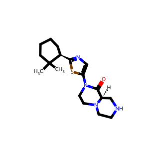 CC1(C)CCCC[C@H]1c1ncc(N2CCN3CCNC[C@@H]3C2=O)s1